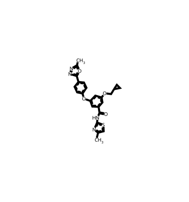 Cc1csc(NC(=O)c2cc(OCC3CC3)cc(Oc3ccc(-c4nnc(C)o4)cc3)c2)n1